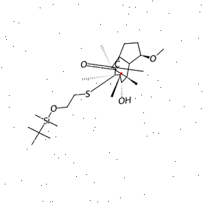 CO[C@@H]1CCC23CC[C@@H](C)[C@](C)(C12)[C@H](O)C[C@@](C)(SCCO[Si](C)(C)C(C)(C)C)C(=O)[C@@H]3C